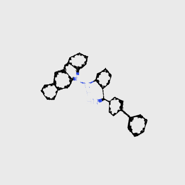 N=C(c1ccc(-c2ccccc2)cc1)c1ccccc1Nn1c2ccccc2c2cc3ccccc3cc21